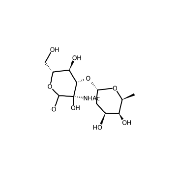 CC(=O)N[C@]1(O)C([O])O[C@H](CO)[C@@H](O)[C@@H]1O[C@H]1C[C@H](O)[C@H](O)[C@H](C)O1